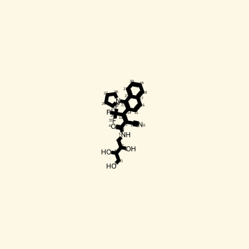 N#C/C(C(=O)NCC(O)C(O)CO)=C(\c1ccc2ccccc2c1N1CCCC1)C(F)(F)F